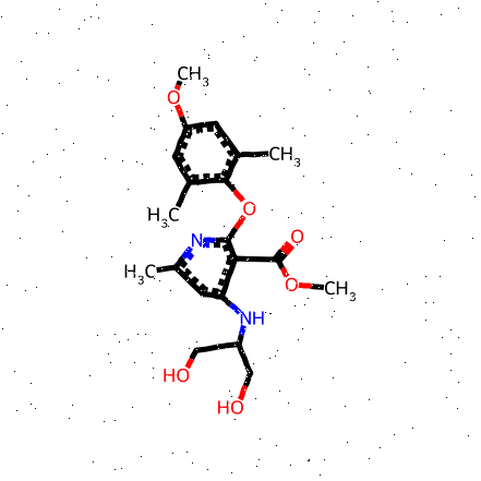 COC(=O)c1c(NC(CO)CO)cc(C)nc1Oc1c(C)cc(OC)cc1C